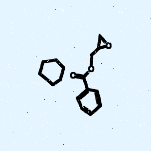 C1CCCCC1.O=C(OCC1CO1)c1ccccc1